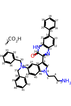 CC(=O)O.NCCCn1cc(-c2nc3ccc(-c4ccccc4)cc3[nH]c2=O)c2cc(N(Cc3ccccc3)Cc3ccccc3)ccc21